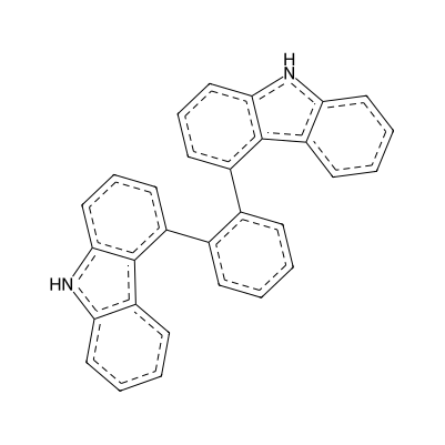 c1ccc(-c2cccc3[nH]c4ccccc4c23)c(-c2cccc3[nH]c4ccccc4c23)c1